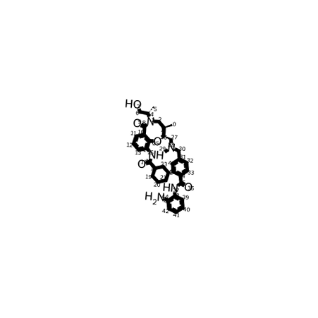 C[C@@H]1CN([C@@H](C)CO)C(=O)c2cccc(NC(=O)C3CCCCC3)c2O[C@@H]1CN(C)Cc1ccc(C(=O)Nc2ccccc2N)cc1